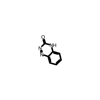 O=c1nnc2ccccc2[nH]1